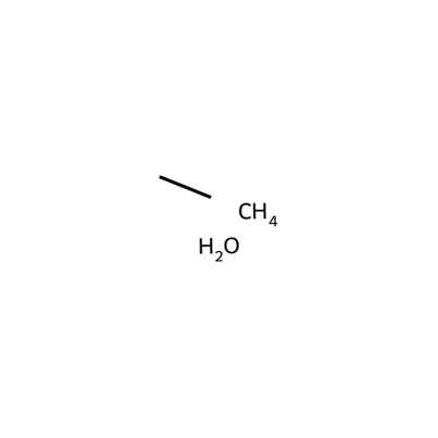 C.CC.O